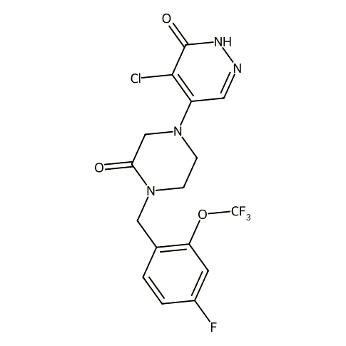 O=C1CN(c2cn[nH]c(=O)c2Cl)CCN1Cc1ccc(F)cc1OC(F)(F)F